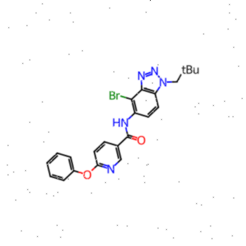 CC(C)(C)Cn1nnc2c(Br)c(NC(=O)c3ccc(Oc4ccccc4)nc3)ccc21